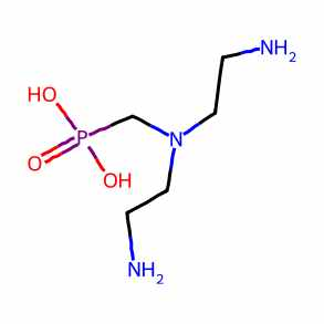 NCCN(CCN)CP(=O)(O)O